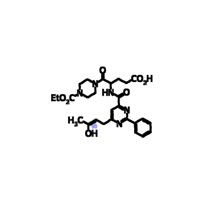 CCOC(=O)N1CCN(C(=O)C(CCC(=O)O)NC(=O)c2cc(C/C=C(/C)O)nc(-c3ccccc3)n2)CC1